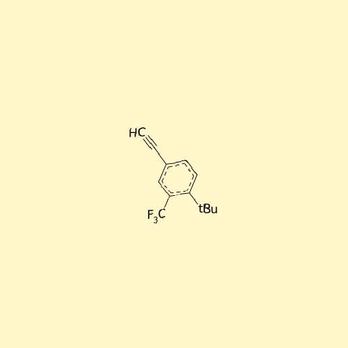 C#Cc1ccc(C(C)(C)C)c(C(F)(F)F)c1